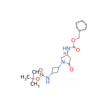 CC(C)(C)OC(=O)NC1CC(N2C[C@@H](NC(=O)OCc3ccccc3)CC2=O)C1